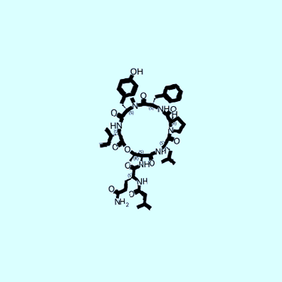 CCC(C)[C@@H]1NC(=O)[C@H](Cc2ccc(O)cc2)N(C)C(=O)[C@H](Cc2ccccc2)NC(=O)[C@H]2CCCN2C(=O)[C@H](CC(C)C)NC(=O)[C@@H](NC(=O)[C@H](CCC(N)=O)NC(=O)CC(C)C)[C@@H](C)OC1=O